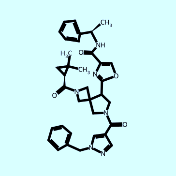 C[C@@H](NC(=O)c1coc(C2CN(C(=O)c3cnn(Cc4ccccc4)c3)CC23CN(C(=O)[C@H]2CC2(C)C)C3)n1)c1ccccc1